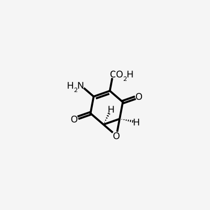 NC1=C(C(=O)O)C(=O)[C@H]2O[C@H]2C1=O